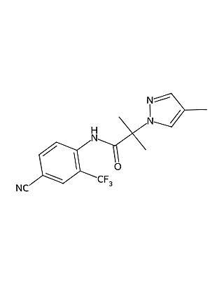 Cc1cnn(C(C)(C)C(=O)Nc2ccc(C#N)cc2C(F)(F)F)c1